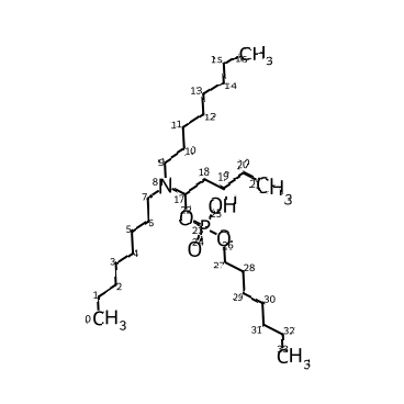 CCCCCCCCN(CCCCCCCC)C(CCCC)OP(=O)(O)OCCCCCCC